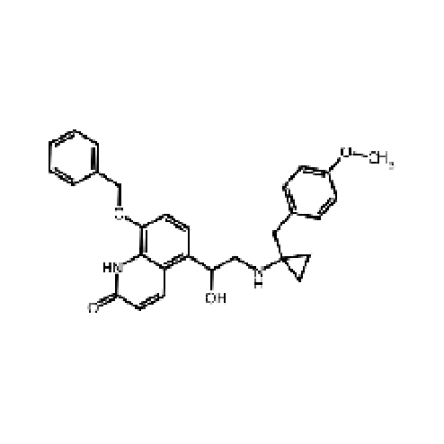 COc1ccc(CC2(NCC(O)c3ccc(OCc4ccccc4)c4[nH]c(=O)ccc34)CC2)cc1